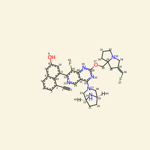 C#Cc1cccc2cc(O)cc(-c3ncc4c(N5C[C@H]6CC[C@@H](C5)N6)nc(OCC56CCCN5CC(=CF)C6)nc4c3F)c12